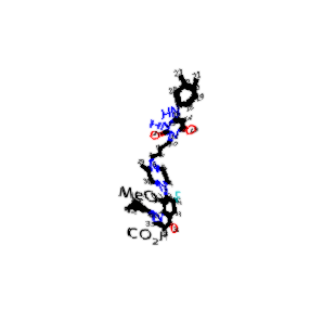 COc1c(N2CCN(CCCCn3c(=O)cc(Nc4ccc(C)c(C)c4)[nH]c3=O)C(C)C2)c(F)cc2c(=O)c(C(=O)O)cn(C3CC3)c12